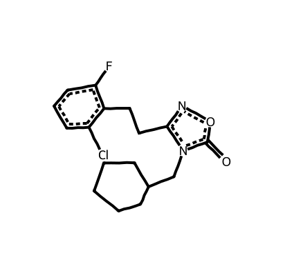 O=c1onc(CCc2c(F)cccc2Cl)n1CC1CCCCC1